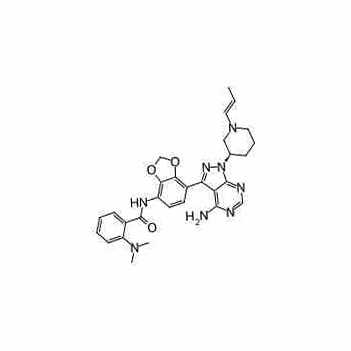 CC=CN1CCC[C@@H](n2nc(-c3ccc(NC(=O)c4ccccc4N(C)C)c4c3OCO4)c3c(N)ncnc32)C1